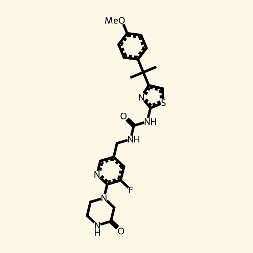 COc1ccc(C(C)(C)c2csc(NC(=O)NCc3cnc(N4CCNC(=O)C4)c(F)c3)n2)cc1